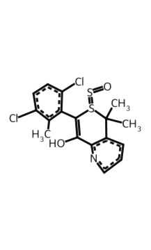 Cc1c(Cl)ccc(Cl)c1C1=C(O)c2ncccc2C(C)(C)S1=S=O